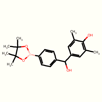 Cc1cc(C(O)c2ccc(B3OC(C)(C)C(C)(C)O3)cc2)cc(C)c1O